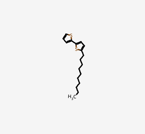 CCCCCCCCCCc1ccc(-c2cccs2)s1